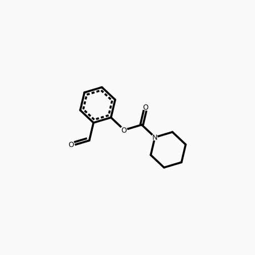 O=Cc1ccccc1OC(=O)N1CCCCC1